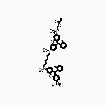 C=CC(=O)OCC/[N+](CC)=c1\ccc2c(-c3ccccc3C)c3ccc(N(CC)CCCCCCN(CC)c4ccc5c(-c6ccccc6C)c6ccc(=[N+](CC)CC)cc-6oc5c4)cc3oc-2c1